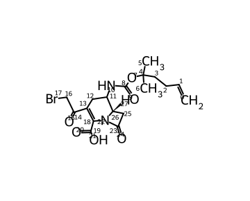 C=CCCC(C)(C)OC(=O)NC1CC(C(=O)CBr)=C(C(=O)O)N2C(=O)C[C@@H]12